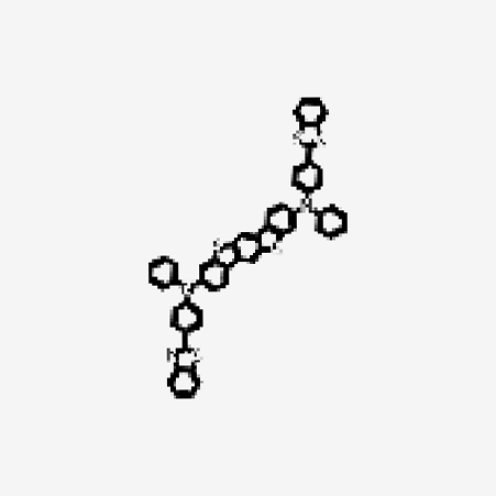 c1ccc(N(c2ccc(-c3nc4ccccc4s3)cc2)c2ccc3c(c2)sc2cc4c(cc23)sc2cc(N(c3ccccc3)c3ccc(-c5nc6ccccc6s5)cc3)ccc24)cc1